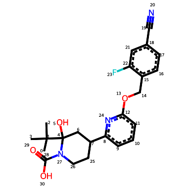 CC(C)(C)C1(O)CC(c2cccc(OCc3ccc(C#N)cc3F)n2)CCN1C(=O)O